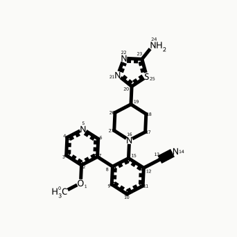 COc1ccncc1-c1cccc(C#N)c1N1CCC(c2nnc(N)s2)CC1